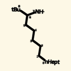 CCCCCCCCCCCCC([NH])C(C)(C)C